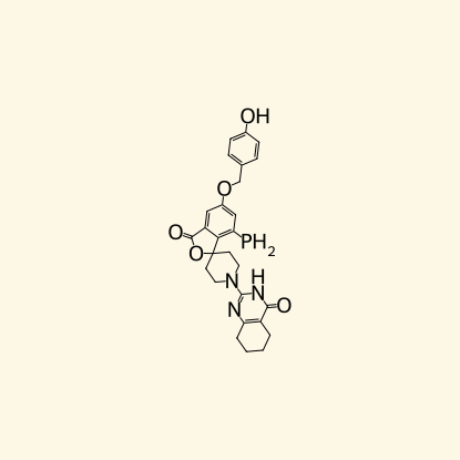 O=C1OC2(CCN(c3nc4c(c(=O)[nH]3)CCCC4)CC2)c2c(P)cc(OCc3ccc(O)cc3)cc21